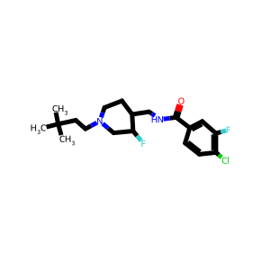 CC(C)(C)CCN1CCC(CNC(=O)c2ccc(Cl)c(F)c2)C(F)C1